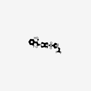 O=C([C@@H](CO)c1ccccc1F)N1Cc2cn(S(=O)(=O)c3cnn(CC(F)F)c3)nc2C1